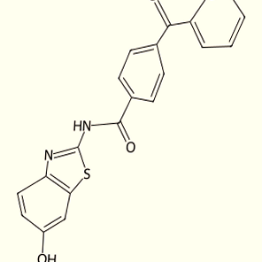 O=C(Nc1nc2ccc(O)cc2s1)c1ccc(C(=O)c2ccccc2)cc1